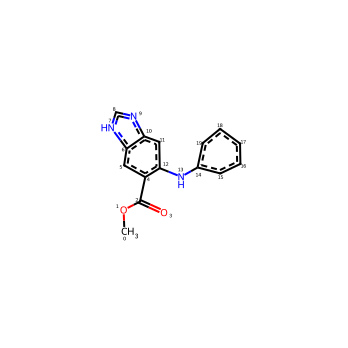 COC(=O)c1cc2[nH]cnc2cc1Nc1ccccc1